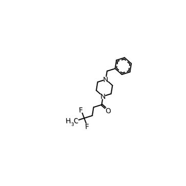 CC(F)(F)CCC(=O)N1CCN(Cc2ccccc2)CC1